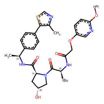 CCCOc1ccc(OCC(=O)N[C@H](C(=O)N2C[C@H](O)C[C@H]2C(=O)N[C@@H](C)c2ccc(-c3scnc3C)cc2)C(C)(C)C)cn1